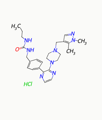 CCCNC(=O)NCc1ccc(-c2nccnc2N2CCN(Cc3cnn(C)c3C)CC2)cc1.Cl